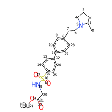 CC1CCCN1CCc1ccc(-c2ccc(S(=O)(=O)NCC(=O)OC(C)(C)C)cc2)cc1